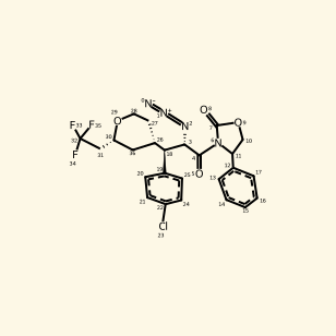 [N-]=[N+]=N[C@H](C(=O)N1C(=O)OCC1c1ccccc1)[C@@H](c1ccc(Cl)cc1)[C@H]1CCO[C@@H](CC(F)(F)F)C1